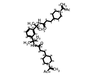 C=C(C(C)=O)N1CCC(CCC(=O)NC(C)(C)c2cccc(C(C)(C)NC(=O)CCC3CCN(C(=C)C(C)=O)CC3)c2)CC1